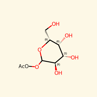 CC(=O)OOC1O[C@H](CO)[C@H](O)[C@H](O)[C@H]1O